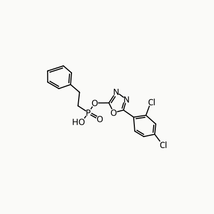 O=P(O)(CCc1ccccc1)Oc1nnc(-c2ccc(Cl)cc2Cl)o1